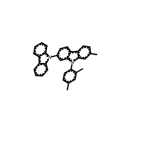 Cc1ccc(-n2c3cc(C)ccc3c3ccc(-n4c5ccccc5c5ccccc54)cc32)c(C)c1